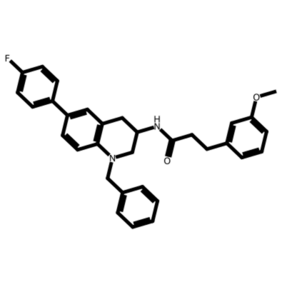 COc1cccc(CCC(=O)NC2Cc3cc(-c4ccc(F)cc4)ccc3N(Cc3ccccc3)C2)c1